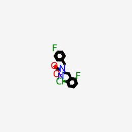 O=c1onc(Cc2c(F)cccc2Cl)n1Cc1ccc(F)cc1